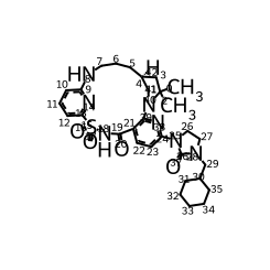 CC1(C)C[C@@H]2CCCNc3cccc(n3)S(=O)(=O)NC(=O)c3ccc(N4CCN(CC5CCCCC5)C4=O)nc3N1C2